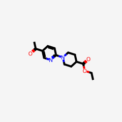 CCOC(=O)C1CCN(c2ccc(C(C)=O)cn2)CC1